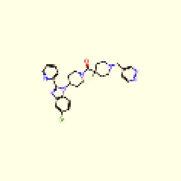 O=C(N1CCC(n2c(-c3ccccn3)nc3cc(Br)ccc32)CC1)C1(F)CCN(Cc2ccnnc2)CC1